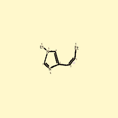 CC/C=C\c1cn(CC)cn1